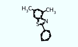 Cc1cc(C)c2nc(-c3ccccc3)sc2c1